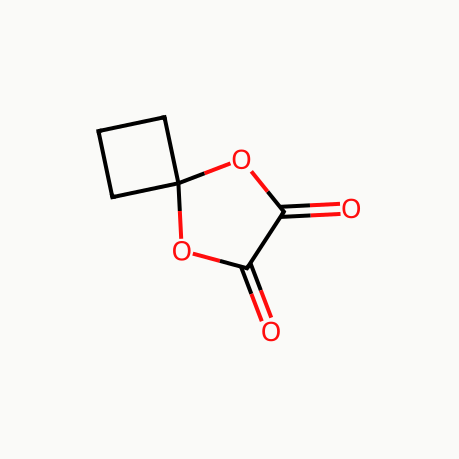 O=C1OC2(CCC2)OC1=O